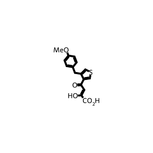 COc1ccc(Cc2cscc2C(=O)/C=C(\O)C(=O)O)cc1